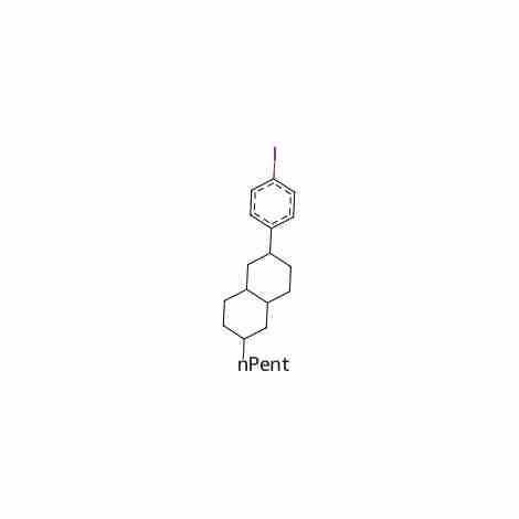 CCCCCC1CCC2CC(c3ccc(I)cc3)CCC2C1